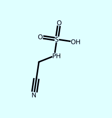 N#CCPS(=O)(=O)O